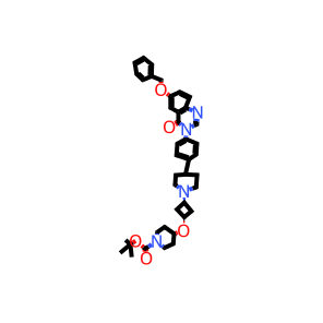 CC(C)(C)OC(=O)N1CCC(O[C@H]2C[C@H](N3CCC(c4ccc(-n5cnc6ccc(OCc7ccccc7)cc6c5=O)cc4)CC3)C2)CC1